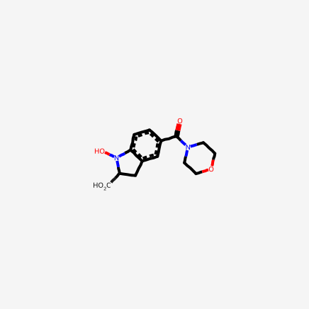 O=C(O)C1Cc2cc(C(=O)N3CCOCC3)ccc2N1O